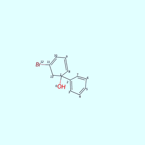 OC1(c2ccccc2)C=CC=C(Br)C1